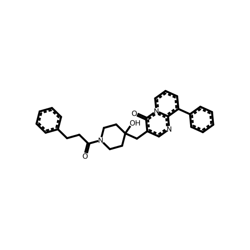 O=C(CCc1ccccc1)N1CCC(O)(Cc2cnc3c(-c4ccccc4)cccn3c2=O)CC1